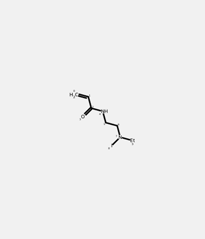 C=CC(=O)NCCN(I)CC